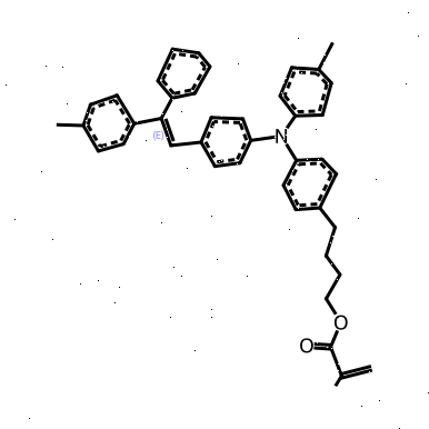 C=C(C)C(=O)OCCCCc1ccc(N(c2ccc(C)cc2)c2ccc(/C=C(\c3ccccc3)c3ccc(C)cc3)cc2)cc1